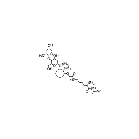 CC(C)C(C)NC(=O)C(N)CCCCNC(=O)COC1CCCCCC(N(N)[C@@H]2CC(O)[C@H](OC3OCC(O)CC3O)C(CO)O2)C1N